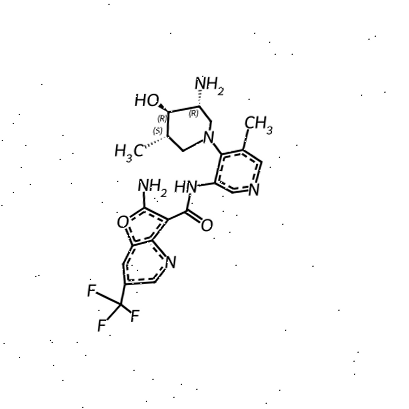 Cc1cncc(NC(=O)c2c(N)oc3cc(C(F)(F)F)cnc23)c1N1C[C@@H](N)[C@H](O)[C@@H](C)C1